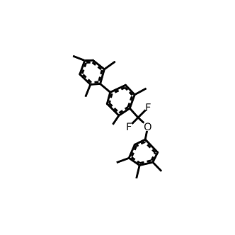 Cc1cc(C)c(-c2cc(C)c(C(F)(F)Oc3cc(C)c(C)c(C)c3)c(C)c2)c(C)c1